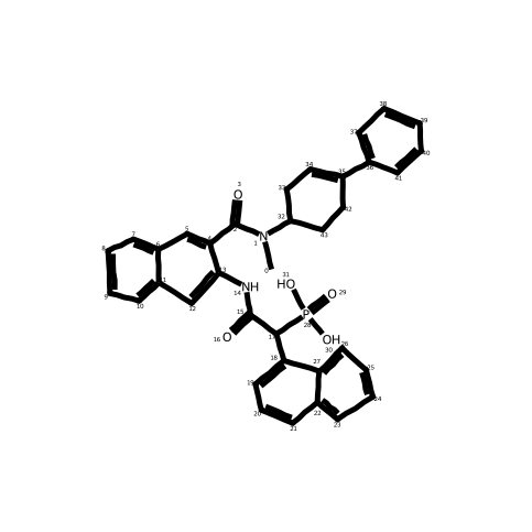 CN(C(=O)c1cc2ccccc2cc1NC(=O)C(c1cccc2ccccc12)P(=O)(O)O)C1CC=C(c2ccccc2)CC1